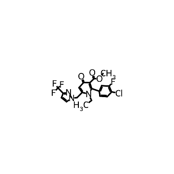 CCn1c(Cn2ccc(C(F)(F)F)n2)cc(=O)c(C(=O)OC)c1-c1ccc(Cl)c(F)c1